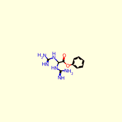 N=C(N)NC(NC(=N)N)C(=O)Oc1ccccc1